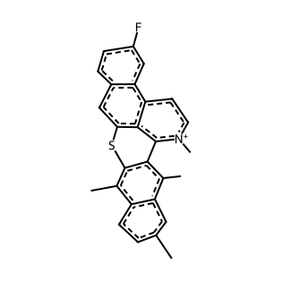 Cc1ccc2c(C)c3c(c(C)c2c1)-c1c2c(cc4ccc(F)cc4c2cc[n+]1C)S3